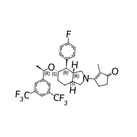 CC1=C(N2C[C@H]3CC[C@H](O[C@H](C)c4cc(C(F)(F)F)cc(C(F)(F)F)c4)[C@@H](c4ccc(F)cc4)[C@@H]3C2)CCC1=O